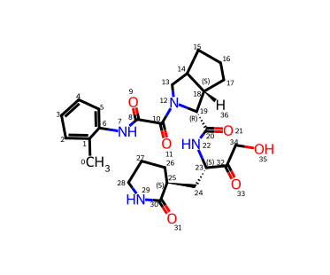 Cc1ccccc1NC(=O)C(=O)N1CC2CCC[C@@H]2[C@@H]1C(=O)N[C@@H](C[C@@H]1CCCNC1=O)C(=O)CO